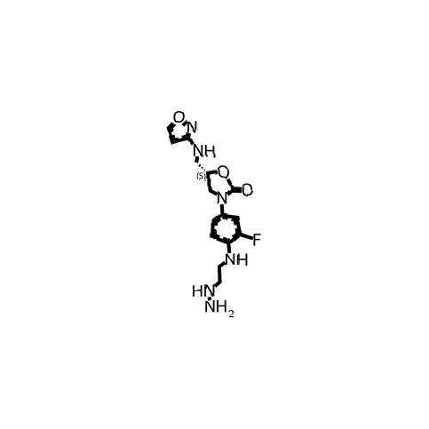 NNCCNc1ccc(N2C[C@H](CNc3ccon3)OC2=O)cc1F